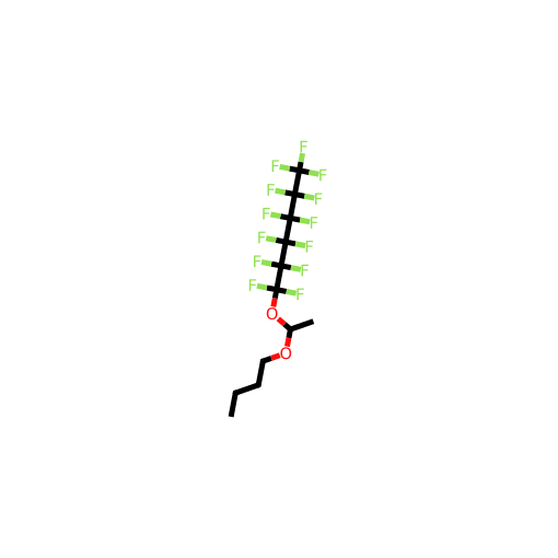 CCCCOC(C)OC(F)(F)C(F)(F)C(F)(F)C(F)(F)C(F)(F)C(F)(F)F